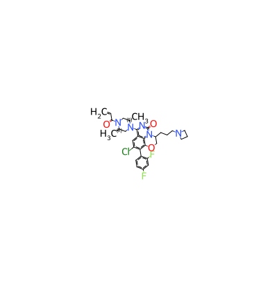 C=CC(=O)N1C[C@H](C)N(c2nc(=O)n3c4c(c(-c5ccc(F)cc5F)c(Cl)cc24)OCC3CCCN2CCC2)C[C@H]1C